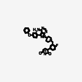 Nc1ncnc2c1c(-c1ccc(Oc3ccccc3)cc1)nn2C1CCN(Cc2cc(C3CCC(=O)NC3=O)ccc2F)CC1